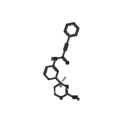 C[C@@]1(C2C=C(NC(=O)C#Cc3ccccc3)C=CC2)CCSC(N)=N1